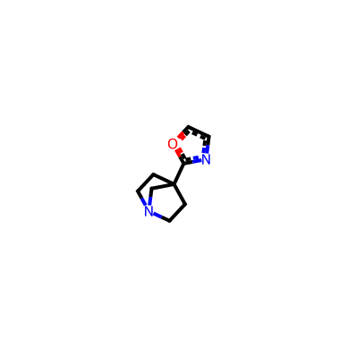 c1coc(C23CCN(CC2)C3)n1